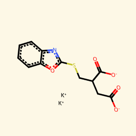 O=C([O-])CC(CSc1nc2ccccc2o1)C(=O)[O-].[K+].[K+]